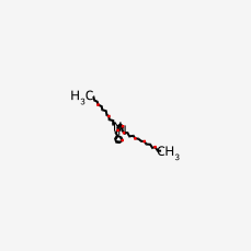 CCCCCCCCCCCCCCN1C=CN(CCCCCCCCCCCCC)C1Cc1ccccc1